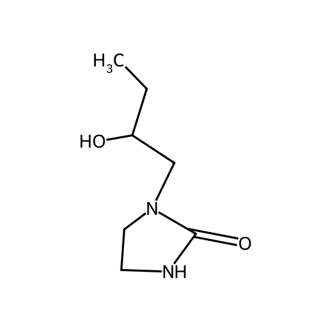 CCC(O)CN1CCNC1=O